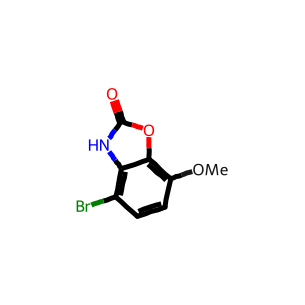 COc1ccc(Br)c2[nH]c(=O)oc12